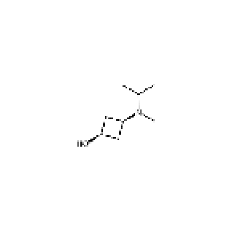 CC(C)N(C)[C@H]1C[C@@H](O)C1